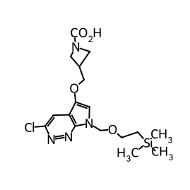 C[Si](C)(C)CCOCn1cc(OCC2CN(C(=O)O)C2)c2cc(Cl)nnc21